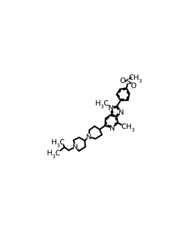 Cc1nc(C2CCN(C3CCN(CC(C)C)CC3)CC2)cc2c1nc(-c1ccc(S(C)(=O)=O)cc1)n2C